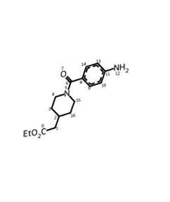 CCOC(=O)CC1CCN(C(=O)c2ccc(N)cc2)CC1